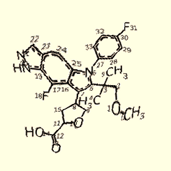 COCC(C)(C)c1c(C2COC(C(=O)O)C2)c2c(F)c3[nH]ncc3cc2n1-c1ccc(F)cc1